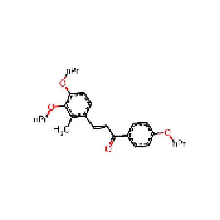 CCCOc1ccc(C(=O)C=Cc2ccc(OCCC)c(OCCC)c2C)cc1